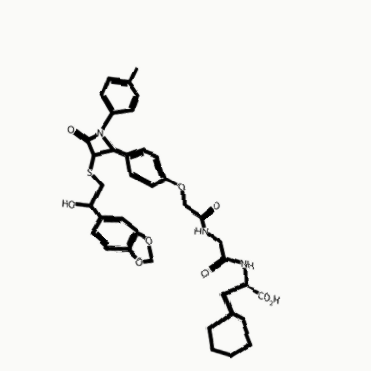 Cc1ccc(N2C(=O)C(SCC(O)c3ccc4c(c3)OCO4)C2c2ccc(OCC(=O)NCC(=O)N[C@H](CC3CCCCC3)C(=O)O)cc2)cc1